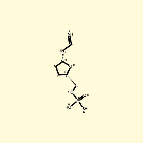 N=CN[C@H]1CC[C@@H](COP(=O)(O)S)O1